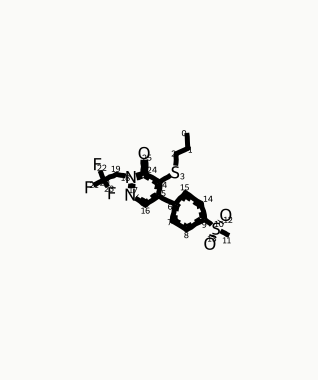 CCCSc1c(-c2ccc(S(C)(=O)=O)cc2)cnn(CC(F)(F)F)c1=O